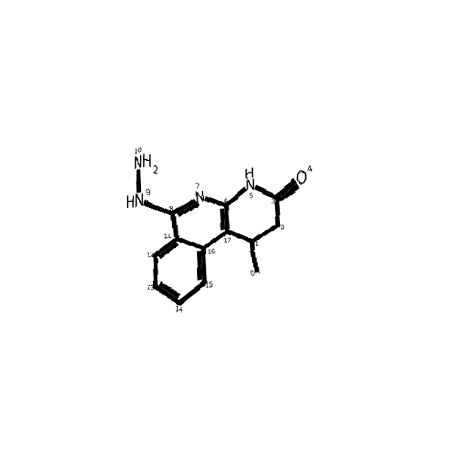 CC1CC(=O)Nc2nc(NN)c3ccccc3c21